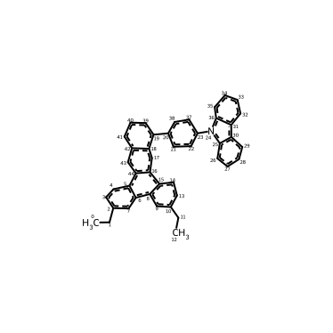 CCc1ccc2c(c1)c1cc(CC)ccc1c1cc3c(-c4ccc(-n5c6ccccc6c6ccccc65)cc4)cccc3cc21